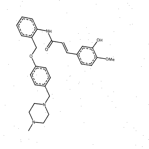 COc1ccc(C=CC(=O)Nc2ccccc2COc2ccc(CN3CCN(C)CC3)cc2)cc1O